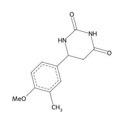 COc1ccc(C2CC(=O)NC(=O)N2)cc1C